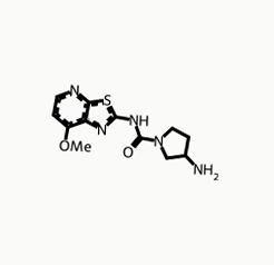 COc1ccnc2sc(NC(=O)N3CCC(N)C3)nc12